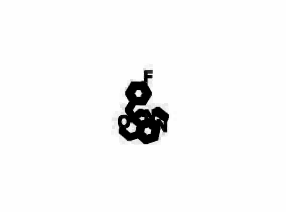 Fc1ccc(CC2(Cn3ccnc3)OCCc3ccccc32)cc1